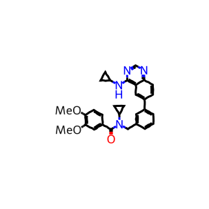 COc1ccc(C(=O)N(Cc2cccc(-c3ccc4ncnc(NC5CC5)c4c3)c2)C2CC2)cc1OC